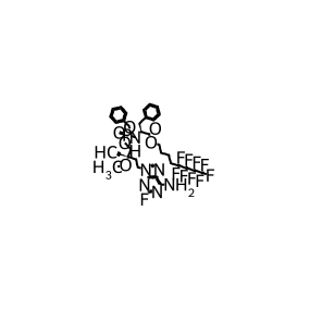 C#C[C@](CCn1cnc2c(N)nc(F)nc21)(COP(=O)(N[C@@H](Cc1ccccc1)C(=O)OCCCCC(F)(F)C(F)(F)C(F)(F)C(F)(F)F)Oc1ccccc1)OC